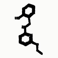 CCOc1cccc(NCc2ccccc2O)n1